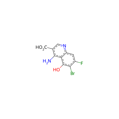 Nc1c(C(=O)O)cnc2cc(F)c(Br)c(O)c12